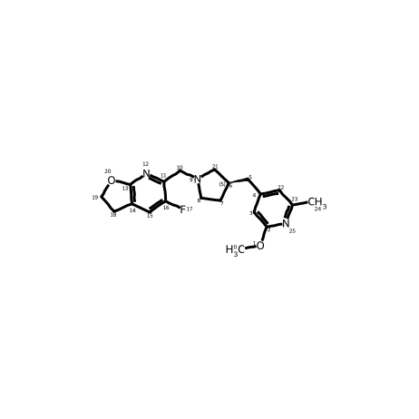 COc1cc(C[C@H]2CCN(Cc3nc4c(cc3F)CCO4)C2)cc(C)n1